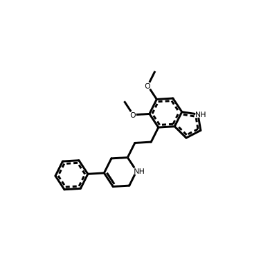 COc1cc2[nH]ccc2c(CCC2CC(c3ccccc3)=CCN2)c1OC